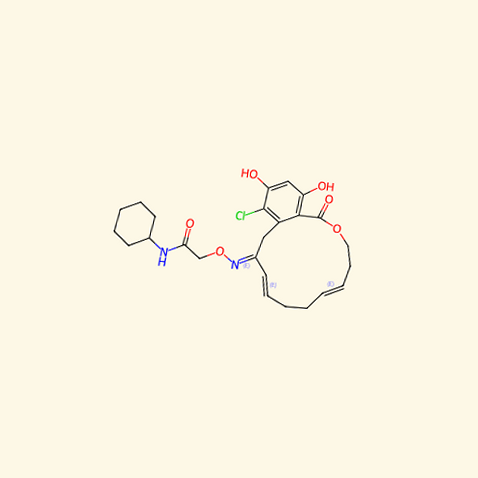 O=C(CO/N=C1/C=C/CC/C=C/CCOC(=O)c2c(O)cc(O)c(Cl)c2C1)NC1CCCCC1